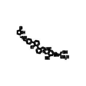 N#Cc1cc(CN[C@@H](CO)C(=O)O)cc(C#N)c1Cn1ncc2c(-c3cccc(-c4ccc(CNC[C@@H]5CCC(=O)N5)cc4)c3Cl)cccc21